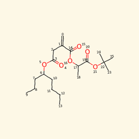 C=C(CC(=O)OC(CCC)CCCC)C(=O)OC(C)C(=O)OC(C)(C)C